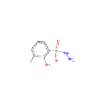 Cc1cccc(S(=O)(=O)NN)c1O